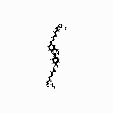 CCCCCCCCOc1ccc(-c2ncc3c(n2)CCC(CCCCCCCC)C3)cc1